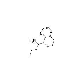 CCCN(N)C1CCCc2cccnc21